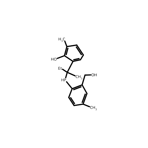 CCC(C)(Pc1ccc(C)cc1CO)c1cccc(C)c1O